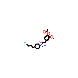 COc1cc(CC(=O)NC2CCC(CCCCF)CC2)ccc1OC(C)=O